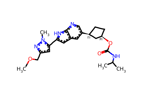 COCc1cc(-c2cc3cc([C@H]4CC[C@@H](OC(=O)NC(C)C)C4)cnc3[nH]2)n(C)n1